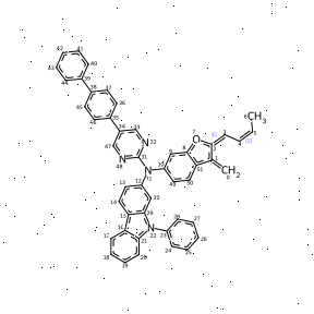 C=c1/c(=C\C=C/C)oc2cc(N(c3ccc4c5ccccc5n(-c5ccccc5)c4c3)c3ncc(-c4ccc(-c5ccccc5)cc4)cn3)ccc12